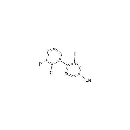 N#Cc1ccc(-c2cccc(F)c2Cl)c(F)c1